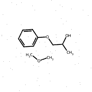 CC(O)COc1ccccc1.COC